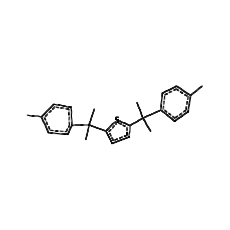 Cc1ccc(C(C)(C)c2ccc(C(C)(C)c3ccc(C)cc3)s2)cc1